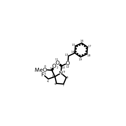 COC(=O)C1(CF)CCCN1C(=O)OCc1ccccc1